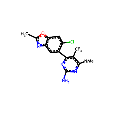 CNc1nc(N)nc(-c2cc3nc(C)oc3cc2Cl)c1C(F)(F)F